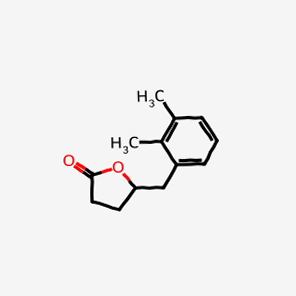 Cc1cccc(CC2CCC(=O)O2)c1C